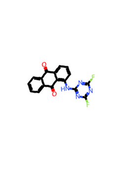 O=C1c2ccccc2C(=O)c2c(Nc3nc(F)nc(F)n3)cccc21